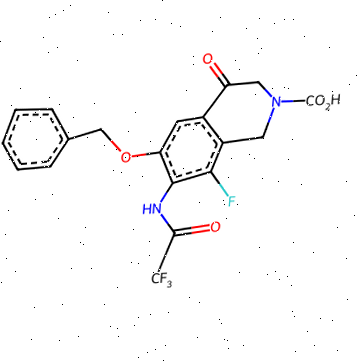 O=C1CN(C(=O)O)Cc2c1cc(OCc1ccccc1)c(NC(=O)C(F)(F)F)c2F